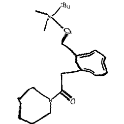 CC(C)(C)[Si](C)(C)OCc1ccccc1CC(=O)N1CCCCC1